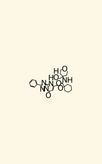 O=C(NC1(CO)CCOCC1)C1(OCc2cc(=O)n3nc(-c4ccccc4)nc3[nH]2)CCCCC1